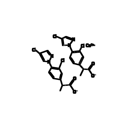 CC(C(=O)[O-])c1ccc(-n2cc(Cl)cn2)c(Cl)c1.CC(C(=O)[O-])c1ccc(-n2cc(Cl)cn2)c(Cl)c1.[Cu+2]